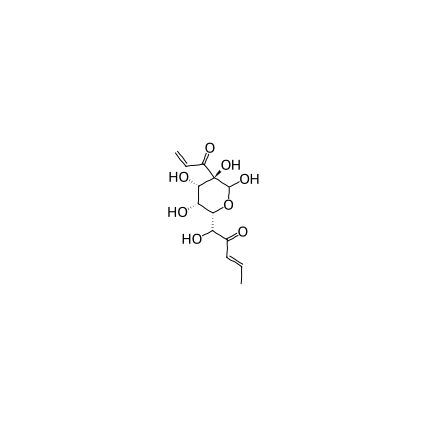 C=CC(=O)[C@]1(O)C(O)O[C@H](C(O)C(=O)C=CC)[C@H](O)[C@@H]1O